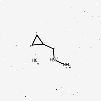 Cl.NNCC1CC1